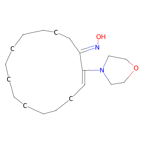 ON=C1CCCCCCCCCCCCC=C1N1CCOCC1